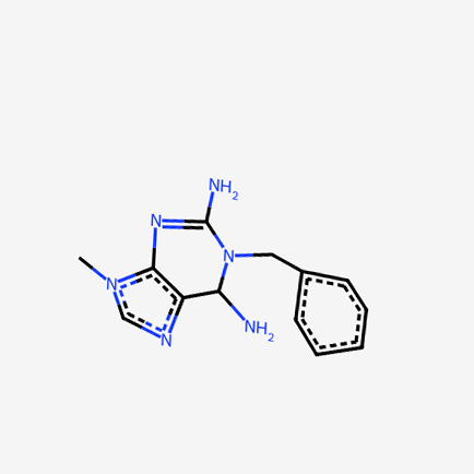 Cn1cnc2c1N=C(N)N(Cc1ccccc1)C2N